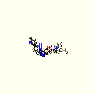 C=CC(=C1CCC1)N1CCC(Oc2cc3c(Nc4cc(-c5ccc(F)nc5)ccc4OC)ncnc3cc2OC)CC1